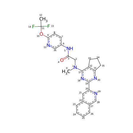 CN(CC(=O)Nc1ccc(OC(C)(F)F)nc1)c1nc(-c2cc3ccccc3cn2)nc2c1CCC2